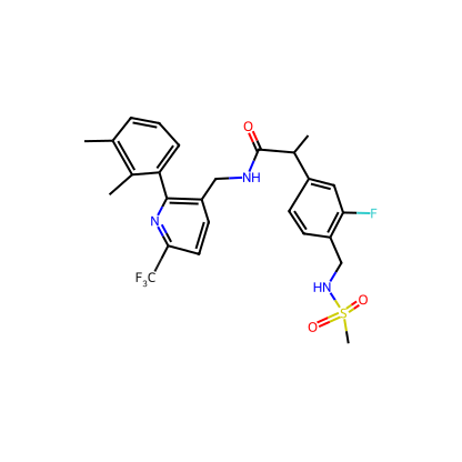 Cc1cccc(-c2nc(C(F)(F)F)ccc2CNC(=O)C(C)c2ccc(CNS(C)(=O)=O)c(F)c2)c1C